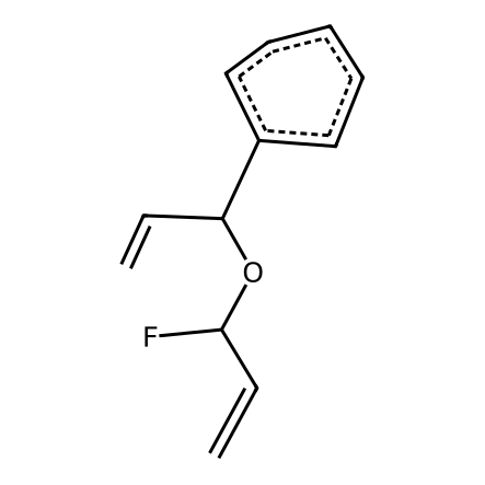 C=CC(F)OC(C=C)c1ccccc1